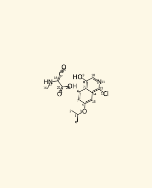 CC(C)Oc1ccc2c(O)cnc(Cl)c2c1.CNC(=C=O)C(=O)O